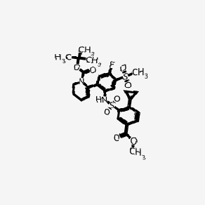 COC(=O)c1ccc(C2CC2)c(S(=O)(=O)Nc2cc(S(C)(=O)=O)c(F)cc2C2=CCCCN2C(=O)OC(C)(C)C)c1